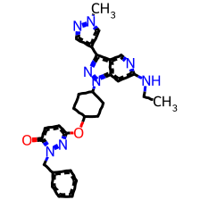 CCNc1cc2c(cn1)c(-c1cnn(C)c1)nn2C1CCC(Oc2ccc(=O)n(Cc3ccccc3)n2)CC1